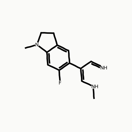 CN/C=C(\C=N)c1cc2c(cc1F)N(C)CC2